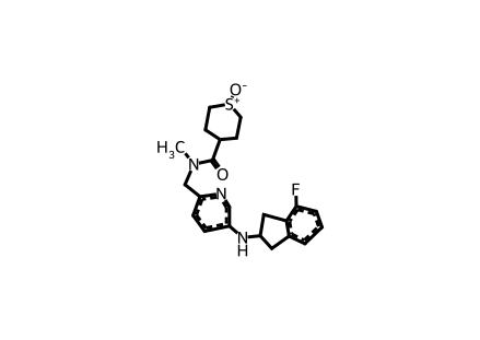 CN(Cc1ccc(NC2Cc3cccc(F)c3C2)cn1)C(=O)C1CC[S+]([O-])CC1